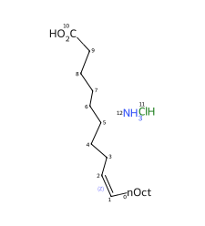 CCCCCCCC/C=C\CCCCCCCC(=O)O.Cl.N